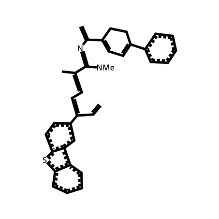 C=C\C(=C/C=C(C)/C(=N/C(=C)C1=CC=C(c2ccccc2)CC1)NC)c1ccc2sc3ccccc3c2c1